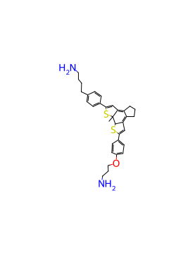 CC12SC(c3ccc(CCCCN)cc3)=CC1=C1CCCC1=C1C=C(c3ccc(OCCCN)cc3)SC12